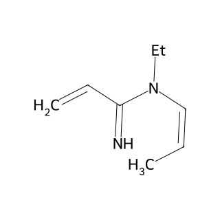 C=CC(=N)N(/C=C\C)CC